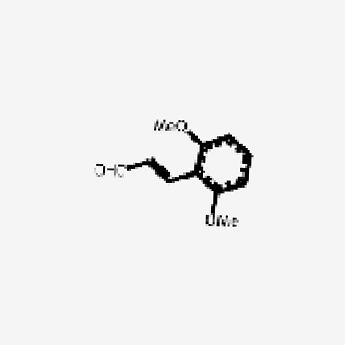 COc1cccc(OC)c1C=CC=O